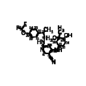 CC(CNc1ncc(C#N)c(N[C@@H]2CC[C@H](O)C(C)(C)C2)n1)c1ccc(OC(F)F)cc1